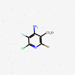 CCOC(=O)c1c(Br)nc(Cl)c(F)c1N